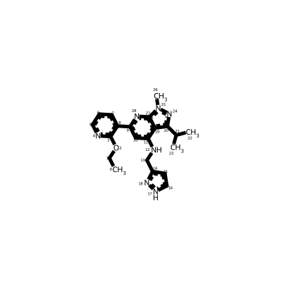 CCOc1ncccc1-c1cc(NCc2cc[nH]n2)c2c(C(C)C)nn(C)c2n1